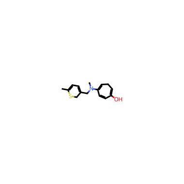 CC1=CC=C(CN(C)C2=CCC=C(O)C=C2)CS1